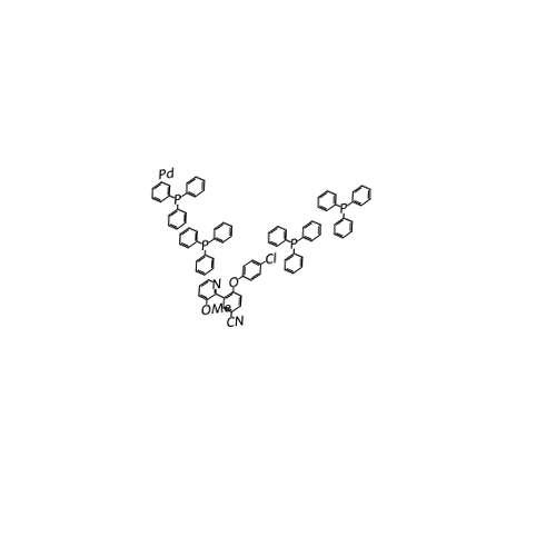 COc1cccnc1-c1cc(C#N)ccc1Oc1ccc(Cl)cc1.[Pd].c1ccc(P(c2ccccc2)c2ccccc2)cc1.c1ccc(P(c2ccccc2)c2ccccc2)cc1.c1ccc(P(c2ccccc2)c2ccccc2)cc1.c1ccc(P(c2ccccc2)c2ccccc2)cc1